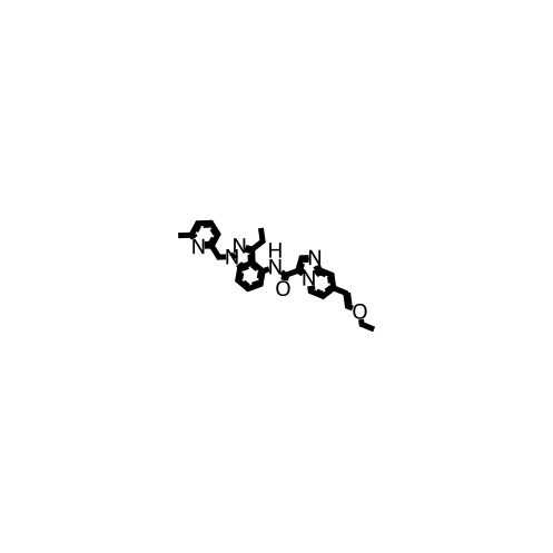 CCOC=Cc1ccn2c(C(=O)Nc3cccc4c3c(CC)nn4Cc3cccc(C)n3)cnc2c1